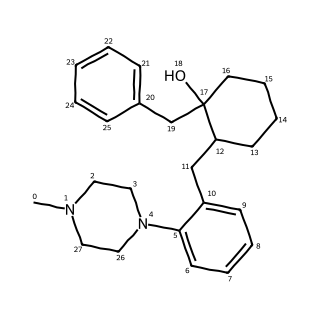 CN1CCN(c2ccccc2CC2CCCCC2(O)Cc2ccccc2)CC1